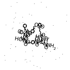 CC(C)[C@H](NC(=O)CCCCCN1C(=O)C=CC1=O)C(=O)N[C@@H](CCCNC(N)=O)C(=O)Nc1ccc(COC(=O)N2CC(O)C(CN(C(=O)[C@H](C)O)C(c3nc(-c4cc(F)ccc4F)cn3Cc3ccccc3)C3CCOCC3)C2)cc1